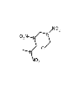 CN(CN(CN(CCl)[N+](=O)[O-])[N+](=O)[O-])[N+](=O)[O-]